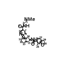 CNCCNC(=O)c1ccc(N2CCCC3CC(NC(=O)c4ccc5c(c4C)OCC5)CC32)nc1